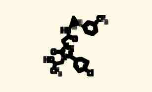 O=C(Cn1nc(-c2ccc(Cl)cc2)n(CC(O)C(F)(F)F)c1=O)N[C@@H]1C[C@@H]1c1cccc(C(F)(F)F)c1